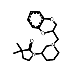 CC1(C)CCN(C2CCCN(CC3COc4ccccc4O3)C2)C1=O